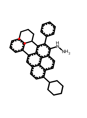 NNc1c(-c2ccccc2)c(C2CCCCC2)c2c(-c3ccccc3)cc3ccc(C4CCCCC4)c4ccc1c2c34